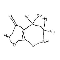 [2H]C1([2H])NCc2o[nH]c(=O)c2C1([2H])[2H]